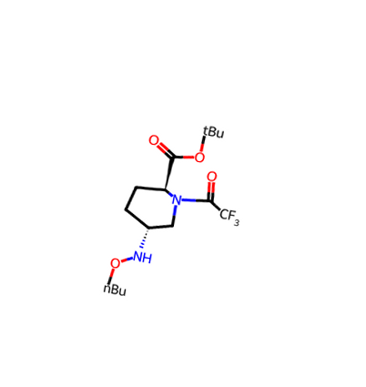 CCCCON[C@@H]1CC[C@@H](C(=O)OC(C)(C)C)N(C(=O)C(F)(F)F)C1